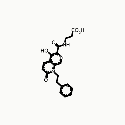 O=C(O)CCNC(=O)c1ncc2c(ccc(=O)n2CCc2ccccc2)c1O